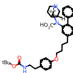 CC(C)(C)OC(=O)NCCc1ccc(OCCCCc2ccc(-c3ccccc3)c(N(C(=O)O)[C@H]3CN4CCC3CC4)c2)cc1